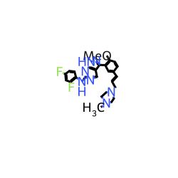 COc1ccc(C=CCN2CCN(C)CC2)cc1-c1n[nH]c2nc(Nc3ccc(F)cc3F)ncc12